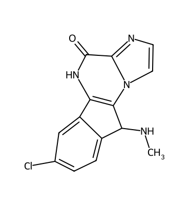 CNC1c2ccc(Cl)cc2-c2[nH]c(=O)c3nccn3c21